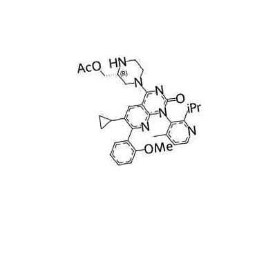 COc1ccccc1-c1nc2c(cc1C1CC1)c(N1CCN[C@@H](COC(C)=O)C1)nc(=O)n2-c1c(C)ccnc1C(C)C